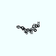 O=C(NS(=O)(=O)c1ccc(NC[C@H]2CC[C@H](N3CCOCC3)CO2)c([N+](=O)[O-])c1)c1ccccc1N1CCCOc2nc3[nH]ccc3cc21